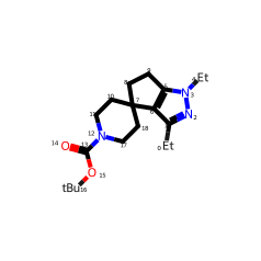 CCc1nn(CC)c2c1C1(CC2)CCN(C(=O)OC(C)(C)C)CC1